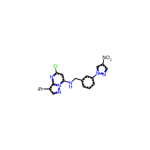 CC(C)c1cnn2c(NCc3cccc(-n4cc([N+](=O)[O-])cn4)c3)cc(Cl)nc12